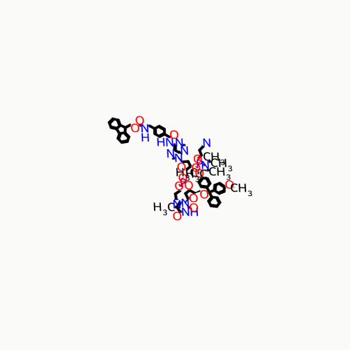 COc1ccc(C(OC[C@H]2O[C@@H](n3cc(C)c(=O)[nH]c3=O)CC2OP(OCCC#N)OC[C@H]2O[C@@H](n3cnc4c(NC(=O)c5ccc(CNC(=O)OCC6c7ccccc7-c7ccccc76)cc5)ncnc43)CC2OP(OCCC#N)N(C(C)C)C(C)C)(c2ccccc2)c2ccc(OC)cc2)cc1